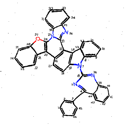 c1ccc(-c2nc(-n3c4ccccc4c4c5c(ccc43)c3c4ccccc4oc3n3c4ccccc4nc53)nc3ccccc23)cc1